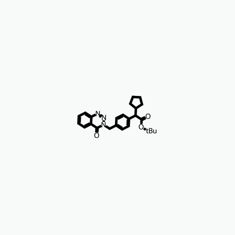 CC(C)(C)OC(=O)C(c1ccc(Cn2nnc3ccccc3c2=O)cc1)C1CCCC1